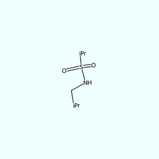 CC(C)CNS(=O)(=O)C(C)C